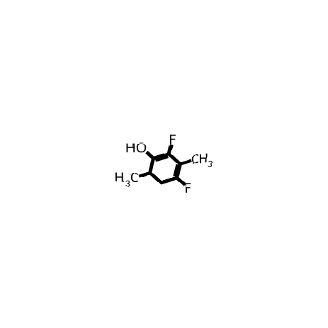 CC1=C(F)CC(C)C(O)=C1F